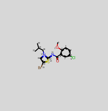 COc1ccc(Cl)cc1C(=O)/N=c1\sc(Br)cn1CC(C)C